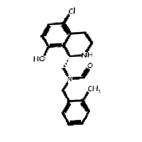 Cc1ccccc1CN(C=O)C[C@H]1NCCc2c(Cl)ccc(O)c21